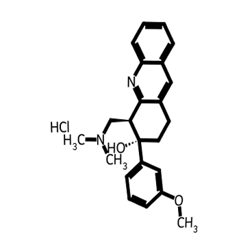 COc1cccc([C@]2(O)CCc3cc4ccccc4nc3[C@@H]2CN(C)C)c1.Cl